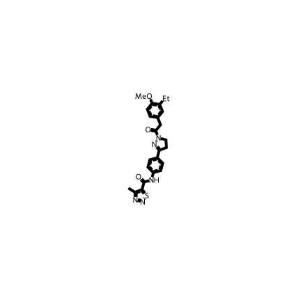 CCc1cc(CC(=O)N2CCC(c3ccc(NC(=O)c4snnc4C)cc3)=N2)ccc1OC